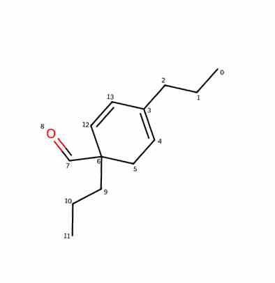 CCCC1=CCC(C=O)(CCC)C=C1